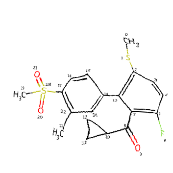 CSc1ccc(F)c(C(=O)C2CC2)c1-c1ccc(S(C)(=O)=O)c(C)c1